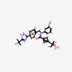 CC(C)(F)c1nc(C23CCC(CN(C(=O)C45CC(C(C)(C)O)(C4)C5)c4cccc(Br)c4)(CC2)CC3)no1